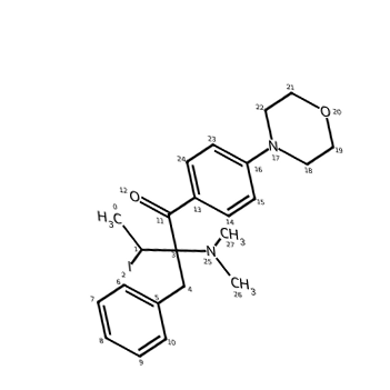 CC(I)C(Cc1ccccc1)(C(=O)c1ccc(N2CCOCC2)cc1)N(C)C